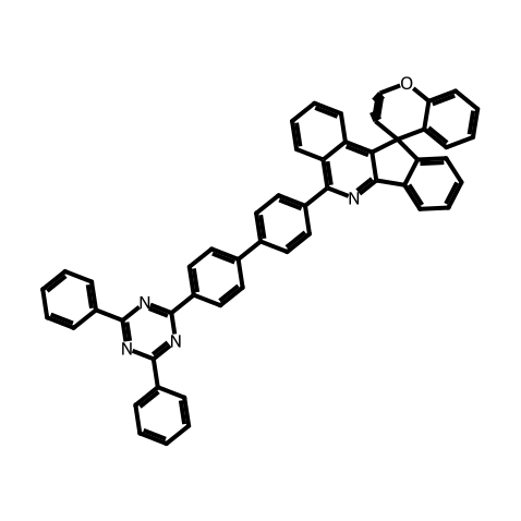 c1ccc(-c2nc(-c3ccccc3)nc(-c3ccc(-c4ccc(-c5nc6c(c7ccccc57)C5(c7ccccc7Oc7ccccc75)c5ccccc5-6)cc4)cc3)n2)cc1